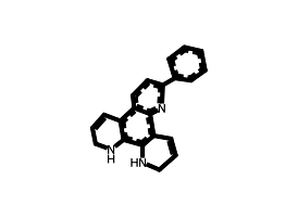 C1=Cc2c(c3c(c4nc(-c5ccccc5)ccc24)C=CCN3)NC1